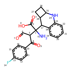 NC(C(=O)O)(C(C=O)C(=O)c1ccc(F)cc1)C1c2ccccc2NC2CCC21